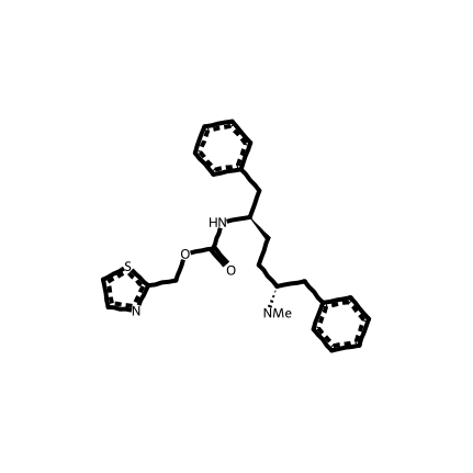 CN[C@H](CC[C@H](Cc1ccccc1)NC(=O)OCc1nccs1)Cc1ccccc1